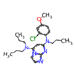 CCCN(CCC)c1cc(N(CCC)c2ccc(OC)cc2Cl)nc2nccn12